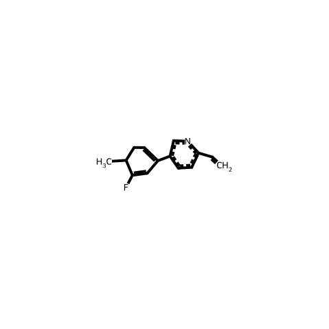 C=Cc1ccc(C2=CCC(C)C(F)=C2)cn1